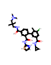 Cc1c(F)cc(C(=O)NC2CC2)cc1-c1ccc(C(=O)NCC(C)(C)CN(C)C)cc1C(=O)Nc1nccs1